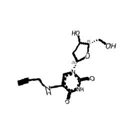 C#CCNc1cn([C@@H]2CC(O)[C@H](CO)O2)c(=O)[nH]c1=O